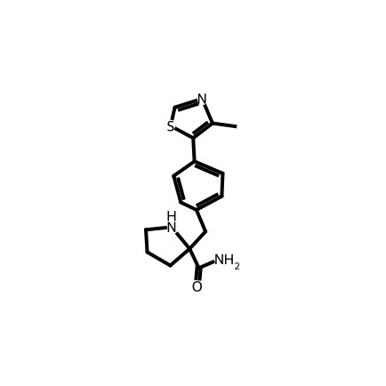 Cc1ncsc1-c1ccc(CC2(C(N)=O)CCCN2)cc1